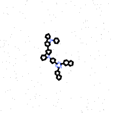 c1ccc(-n2c3ccccc3c3ccc(-c4ccc5c(c4)c4ccccc4n5-c4ccc(-c5nc(-c6ccc7ccccc7c6)nc(-c6ccc7ccccc7c6)n5)cc4)cc32)cc1